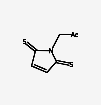 CC(=O)CN1C(=S)C=CC1=S